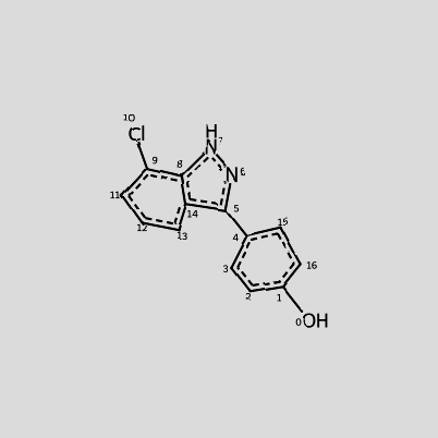 Oc1ccc(-c2n[nH]c3c(Cl)cccc23)cc1